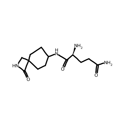 NC(=O)CC[C@H](N)C(=O)NC1CCC2(CC1)CNC2=O